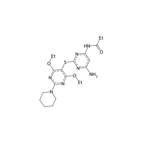 CCOc1nc(N2CCCCC2)nc(OCC)c1Sc1nc(N)cc(NC(=O)CC)n1